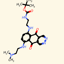 CN(C)CCNc1ccc(NCCNC(=O)OC(C)(C)C)c2c1C(=O)c1cnncc1C2=O